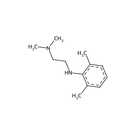 Cc1cccc(C)c1NCCN(C)C